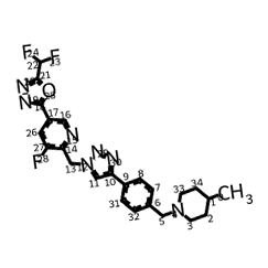 CC1CCN(Cc2ccc(-c3cn(Cc4ncc(-c5nnc(C(F)F)o5)cc4F)nn3)cc2)CC1